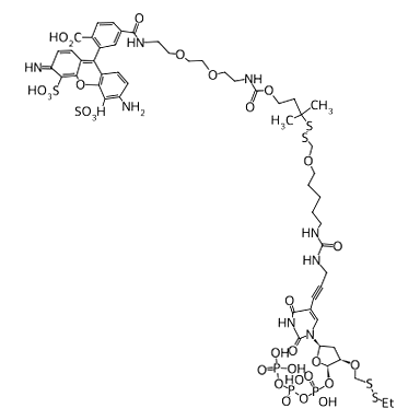 CCSSCO[C@@H]1C[C@H](n2cc(C#CCNC(=O)NCCCCCOCSSC(C)(C)CCOC(=O)NCCOCCOCCNC(=O)c3ccc(C(=O)O)c(-c4c5ccc(=N)c(S(=O)(=O)O)c-5oc5c(S(=O)(=O)O)c(N)ccc45)c3)c(=O)[nH]c2=O)O[C@@H]1OP(=O)(O)OP(=O)(O)OP(=O)(O)O